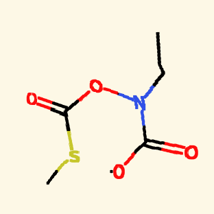 CCN(OC(=O)SC)C([O])=O